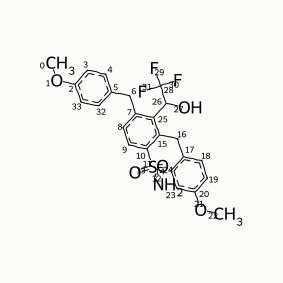 COc1ccc(Cc2ccc(S(N)(=O)=O)c(Cc3ccc(OC)cc3)c2C(O)C(F)(F)F)cc1